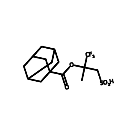 CC(CS(=O)(=O)O)(OC(=O)C12CC3CC(CC(C3)C1)C2)C(F)(F)F